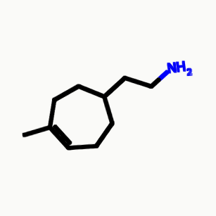 CC1=CCCC(CCN)CC1